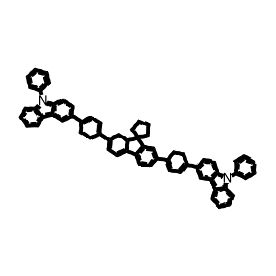 C1=C(C2=CC=C3c4ccc(C5=CC=C(c6ccc7c(c6)c6ccccc6n7-c6ccccc6)CC5)cc4C4(CCCC4)C3C2)CCC(c2ccc3c(c2)c2ccccc2n3-c2ccccc2)=C1